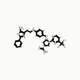 Cc1oc(-c2ccccc2)nc1CCOc1ccc(C[C@H]2C[C@@H](C(=O)O)CN2c2nccc(C(F)(F)F)n2)cc1